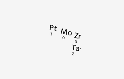 [Mo].[Pt].[Ta].[Zr]